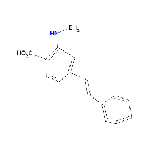 BNc1cc(/C=C/c2ccccc2)ccc1C(=O)O